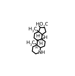 C[C@]12CCCNC1CC[C@@H]1[C@@H]2CC[C@]2(C)C(C(=O)O)CC[C@@H]12